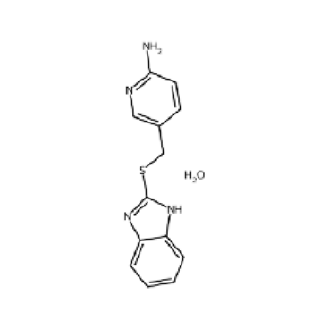 Nc1ccc(CSc2nc3ccccc3[nH]2)cn1.O